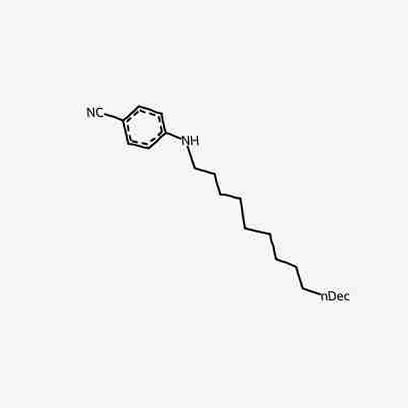 CCCCCCCCCCCCCCCCCCCNc1ccc(C#N)cc1